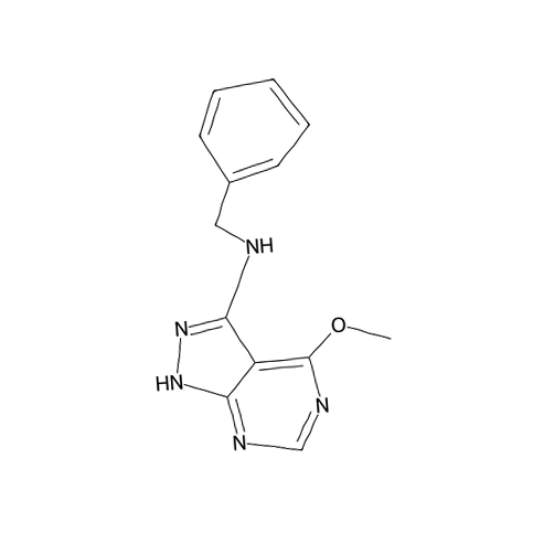 COc1ncnc2[nH]nc(NCc3ccccc3)c12